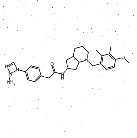 COc1ccc(CN2CCCC3CC(NC(=O)Cc4ccc(-n5cnn5N)cc4)CC32)c(C)c1C